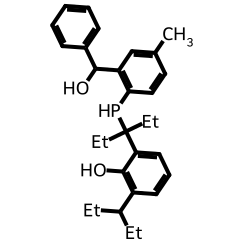 CCC(CC)c1cccc(C(CC)(CC)Pc2ccc(C)cc2C(O)c2ccccc2)c1O